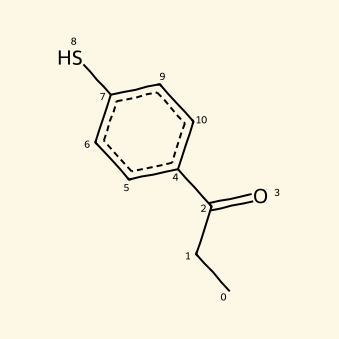 CCC(=O)c1ccc(S)cc1